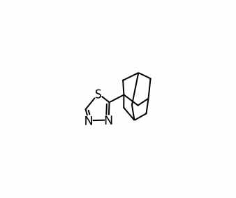 c1nnc(C23CC4CC(CC(C4)C2)C3)s1